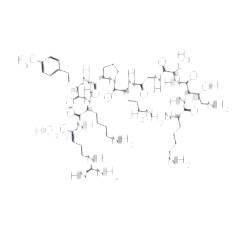 C[C@H](NC(=O)[C@@H](NC(=O)[C@@H](N)CCCCN)[C@@H](O)CN)C(=O)NCC(=O)N[C@H](CCCN)C(=O)N1CCC[C@H]1C(=O)N[C@@H](CCc1ccc(C(F)(F)F)cc1)C(=O)N[C@@H](CCCCN)C(=O)N/C(=C\CCNC(=N)N)C(=O)O